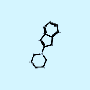 C1=C(N2CCCCC2)Cc2ccccc21